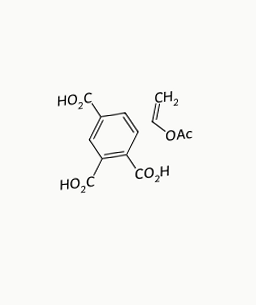 C=COC(C)=O.O=C(O)c1ccc(C(=O)O)c(C(=O)O)c1